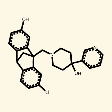 Oc1ccc2c(c1)C1(CN3CCC(O)(c4cccnc4)CC3)CC2c2ccc(Cl)cc21